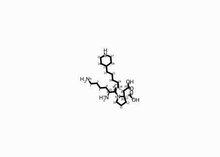 NCCCC[C@H](N)C(=O)N1CCC[C@]1(C(=O)O)[C@H](CCCCCC1CCNCC1)C(=O)O